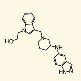 OCCn1cc(CN2CCCC(Nc3ccc4[nH]ncc4c3)C2)c2ccccc21